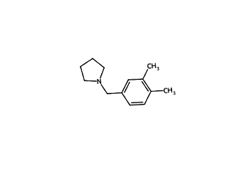 Cc1ccc(CN2CCCC2)cc1C